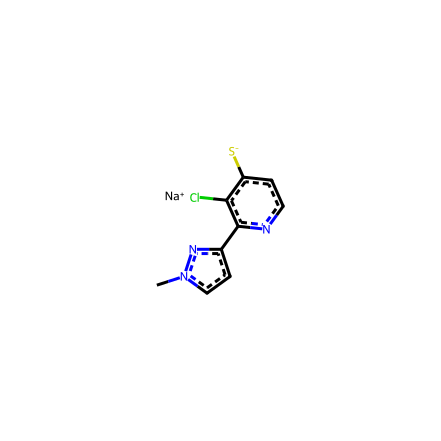 Cn1ccc(-c2nccc([S-])c2Cl)n1.[Na+]